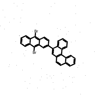 Brc1c2ccccc2c(Br)c2cc(-c3cc4ccc5ccccc5c4c4ccccc34)ccc12